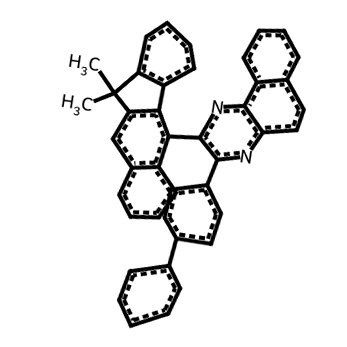 CC1(C)c2ccccc2-c2c1cc1ccccc1c2-c1nc2c(ccc3ccccc32)nc1-c1ccc(-c2ccccc2)cc1